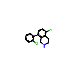 Clc1ccccc1-c1ccc(Cl)c2c1CNCC2